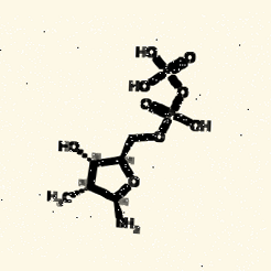 B[C@@H]1O[C@H](COP(=O)(O)OP(=O)(O)O)[C@@H](O)[C@H]1C